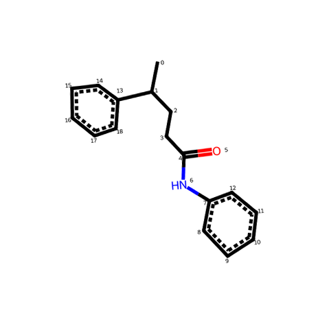 CC(CCC(=O)Nc1ccccc1)c1ccccc1